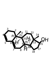 C[C@]12CCC=CC1=CC[C@@H]1[C@@H]2CC[C@]2(C)C(O)CC[C@@H]12